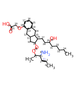 C/C=C/C(N)C(C)OOC1CC2Cc3c(cccc3OCC(=O)O)CC2C1CCC(O)CCCCC